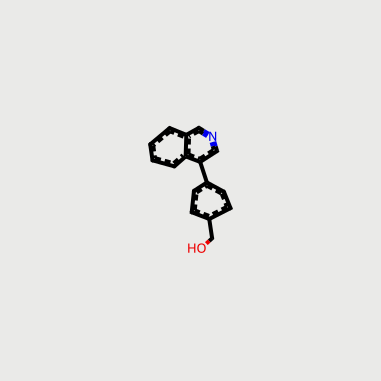 OCc1ccc(-c2cncc3ccccc23)cc1